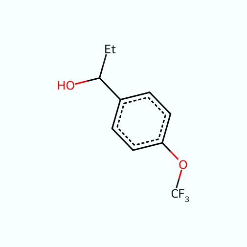 CCC(O)c1ccc(OC(F)(F)F)cc1